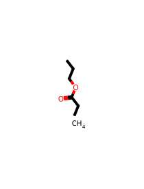 C.CCCOC(=O)CC